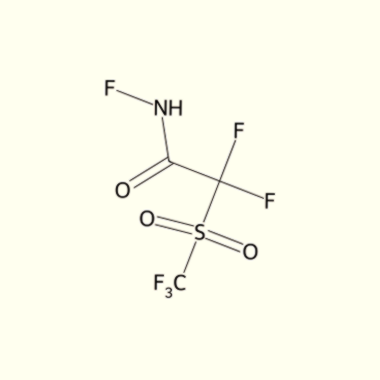 O=C(NF)C(F)(F)S(=O)(=O)C(F)(F)F